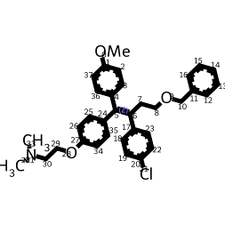 COc1ccc(/C(=C(\CCOCc2ccccc2)c2ccc(Cl)cc2)c2ccc(OCCN(C)C)cc2)cc1